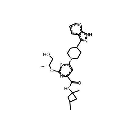 CC1CC(C)(NC(=O)c2cc(N3CCC(c4n[nH]c5ncccc45)CC3)nc(O[C@H](C)CO)n2)C1